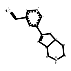 C=Cc1cncc(C2=CC3CNCCC3C2)c1